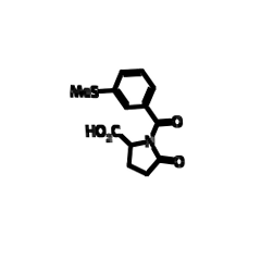 CSc1cccc(C(=O)N2C(=O)CCC2C(=O)O)c1